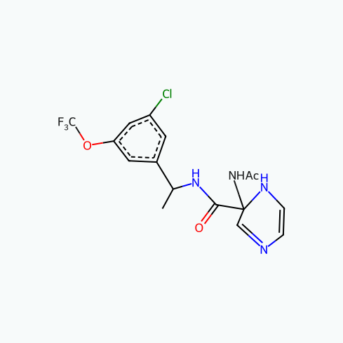 CC(=O)NC1(C(=O)NC(C)c2cc(Cl)cc(OC(F)(F)F)c2)C=NC=CN1